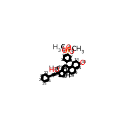 COP(=O)(OC)c1ccc([C@H]2C[C@@]3(C)[C@@H](CC[C@@]3(O)C#Cc3ccccc3)[C@@H]3CCC4=CC(=O)CCC4=C32)cc1